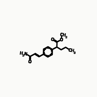 CCCC(C(=O)OC)c1ccc(C=CC(N)=O)cc1